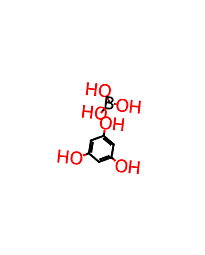 OB(O)O.Oc1cc(O)cc(O)c1